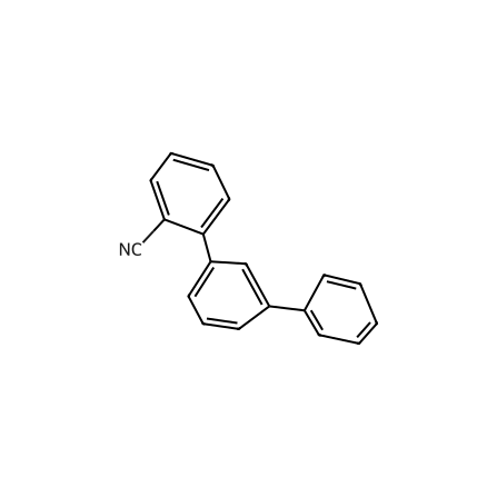 N#Cc1ccccc1-c1cccc(-c2ccccc2)c1